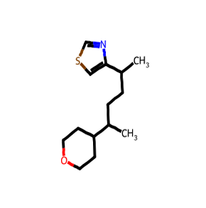 CC(CCC(C)C1CCOCC1)c1cscn1